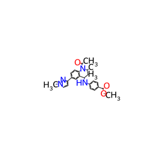 COC(=O)c1ccc(N[C@@H]2C[C@H](C)N(C(C)=O)c3ccc(-c4ccn(C)n4)cc32)cc1